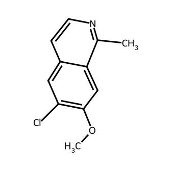 COc1cc2c(C)nccc2cc1Cl